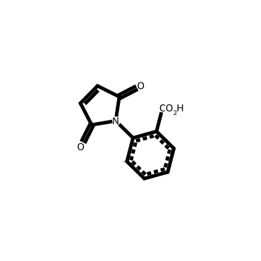 O=C(O)c1ccc[c]c1N1C(=O)C=CC1=O